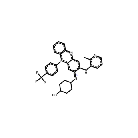 Cc1ncccc1Nc1cc2nc3ccccc3n(-c3ccc(C(F)(F)F)cc3)c-2c/c1=N\C1CCC(O)CC1